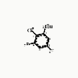 CC(C)(C)c1cc(F)cc(F)c1Cl